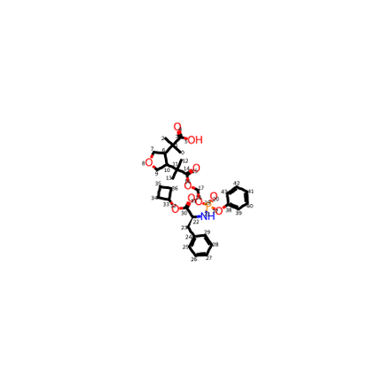 CC(C)(C(=O)O)C1COCC1C(C)(C)C(=O)OCOP(=O)(N[C@@H](Cc1ccccc1)C(=O)OC1CCC1)Oc1ccccc1